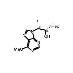 CCCCCC[C@H](O)[C@@H](C)n1cnc2c(OC)ncnc21